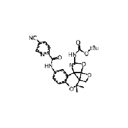 CC(C)(C)OC(=O)NC1=NC23c4cc(NC(=O)c5ccc(C#N)cn5)ccc4OC(C)(C)C24COC34O1